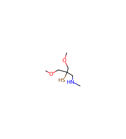 CNCC(S)(COC)COC